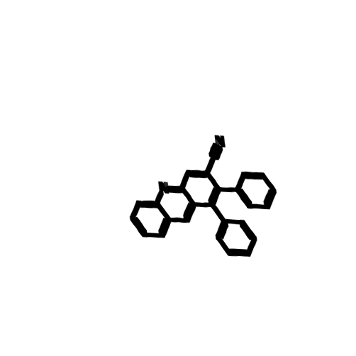 N#Cc1cc2nc3ccccc3cc2c(-c2ccccc2)c1-c1ccccc1